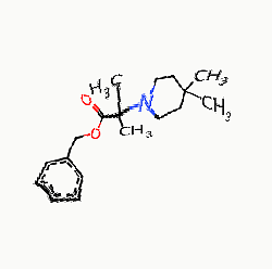 CC1(C)CCN(C(C)(C)C(=O)OCc2ccccc2)CC1